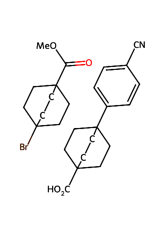 COC(=O)C12CCC(Br)(CC1)CC2.N#Cc1ccc(C23CCC(C(=O)O)(CC2)CC3)cc1